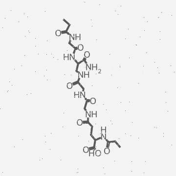 CCC(=O)NCC(=O)NC(CNC(=O)CNC(=O)CNC(=O)CCC(NC(=O)CC)C(=O)O)C(N)=O